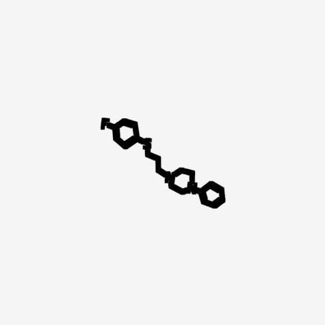 Fc1ccc(SCCCN2CCN(c3ccccc3)CC2)cc1